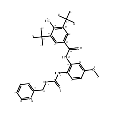 COc1ccc(NC(=O)NCc2ccccn2)c(NC(=O)c2cc(C(C)(C)C)c(O)c(C(C)(C)C)c2)c1